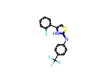 Fc1ccccc1-c1csc(=Nc2ccc(C(F)(F)F)cc2)[nH]1